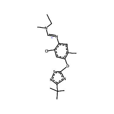 CCN(C)/C=N/c1cc(C)c(Oc2nc(C(C)(C)C)ns2)cc1Cl